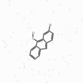 CCOc1c2ccccc2cc2ccc(Br)cc12